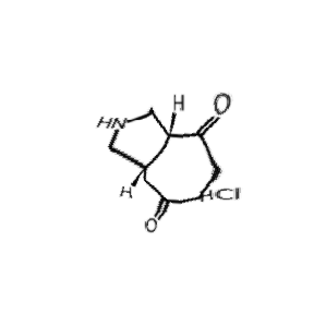 Cl.O=C1CCC(=O)[C@@H]2CNC[C@H]12